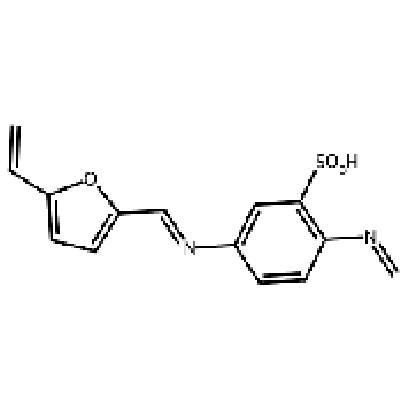 C=Cc1ccc(C=Nc2ccc(N=C)c(S(=O)(=O)O)c2)o1